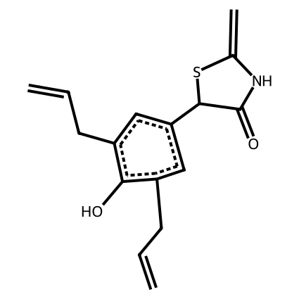 C=CCc1cc(C2SC(=C)NC2=O)cc(CC=C)c1O